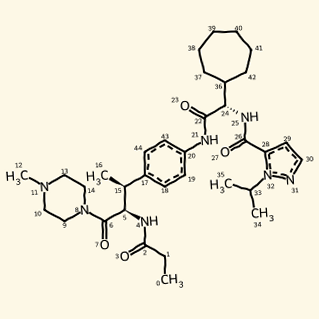 CCC(=O)N[C@@H](C(=O)N1CCN(C)CC1)[C@@H](C)c1ccc(NC(=O)[C@@H](NC(=O)c2ccnn2C(C)C)C2CCCCCC2)cc1